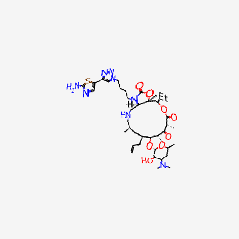 C=CC[C@H]1C[C@@H](C)CN[C@H](C)[C@H]2N(CCCCn3cc(-c4cnc(N)s4)nn3)C(=O)O[C@]2(C)[C@@H](CC)OC(=O)[C@H](C)C(=O)[C@H](C)[C@H]1O[C@@H]1OC(C)CC(N(C)C)C1O